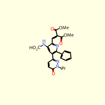 COC(=O)C(=Cc1nc(-c2ccccc2)c(-c2ccc(=O)n(C(C)C)n2)cc1NC(=O)O)C(=O)OC